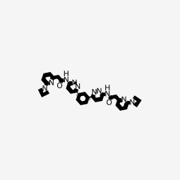 O=C(Cc1cccc(N2CCC2)n1)Nc1ccc([C@H]2CCC[C@H](c3ccc(NC(=O)Cc4cccc(N5CCC5)n4)nn3)C2)nn1